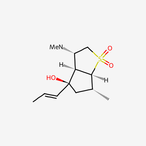 C/C=C/[C@@]1(O)C[C@@H](C)[C@H]2[C@@H]1[C@H](NC)CS2(=O)=O